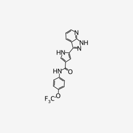 O=C(Nc1ccc(OC(F)(F)F)cc1)c1c[nH]c(-c2n[nH]c3ncccc23)c1